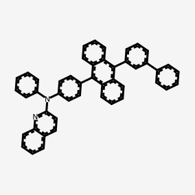 c1ccc(-c2cccc(-c3c4ccccc4c(-c4ccc(N(c5ccccc5)c5ccc6ccccc6n5)cc4)c4ccccc34)c2)cc1